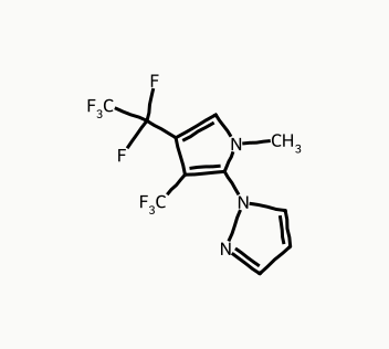 Cn1cc(C(F)(F)C(F)(F)F)c(C(F)(F)F)c1-n1cccn1